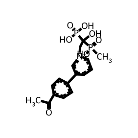 CC(=O)c1ccc(-c2ccc[n+](CC(O)(P(C)(=O)O)P(=O)(O)O)c2)cc1